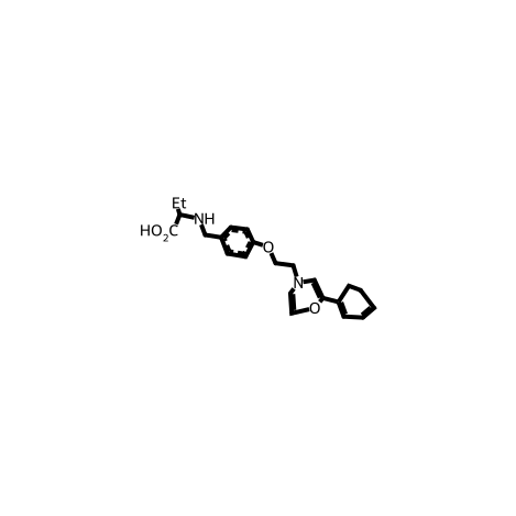 CCC(NCc1ccc(OCCN2C=COC(C3=CC=CCC3)=C2)cc1)C(=O)O